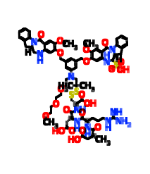 COCCOCCOCCN(CC(C)(C)SSC[C@@H](NC(=O)[C@@H](CC(=O)O)NC(=O)[C@@H](CCCNC(=N)N)NC(=O)[C@H](C)CC(=O)O)C(=O)O)c1cc(COc2cc3c(cc2OC)C(=O)N2c4ccccc4C[C@H]2CN3)cc(COc2cc3c(cc2OC)C(=O)N2c4ccccc4C[C@H]2C(S(=O)(=O)O)N3)c1